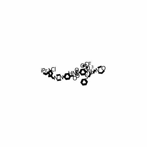 C=C[C@](C)(C(C)C)[C@](C)(Cl)CC(=C)CN1CCN(c2ccc(C(=O)NS(=O)(=O)c3ccc(N[C@H](CCN4CCCOCC4)CSc4ccccc4)c(S(=O)(=O)C(F)(F)F)c3)cc2)CC1